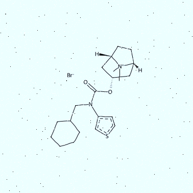 C[N+]1(C)[C@@H]2CC[C@H]1C[C@@H](OC(=O)N(CC1CCCCC1)c1ccsc1)C2.[Br-]